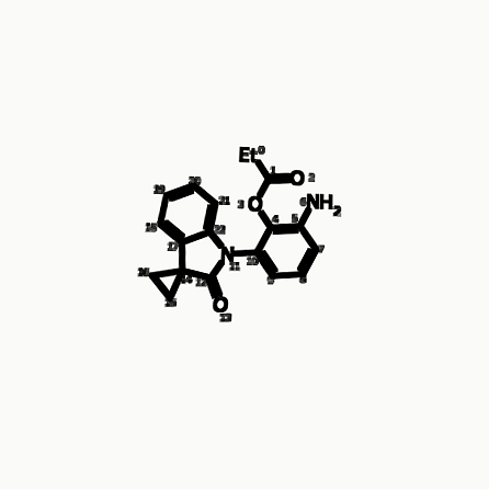 CCC(=O)Oc1c(N)cccc1N1C(=O)C2(CC2)c2ccccc21